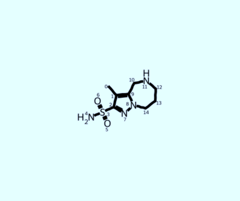 Cc1c(S(N)(=O)=O)nn2c1CNCCC2